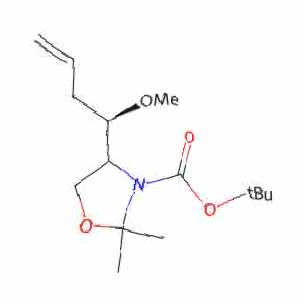 C=CC[C@@H](OC)C1COC(C)(C)N1C(=O)OC(C)(C)C